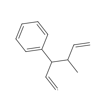 [CH]=CC(c1ccccc1)C(C)C=C